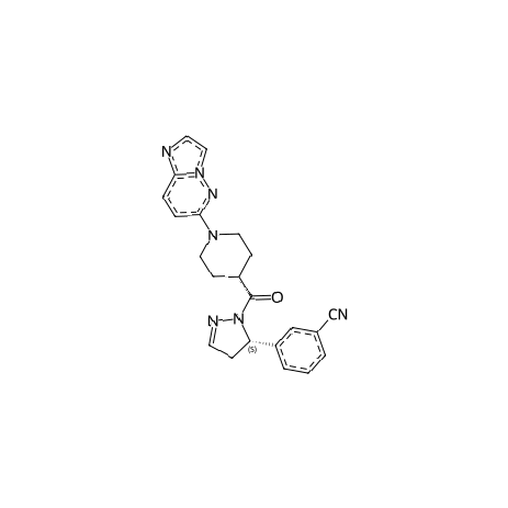 N#Cc1cccc([C@@H]2CC=NN2C(=O)C2CCN(c3ccc4nccn4n3)CC2)c1